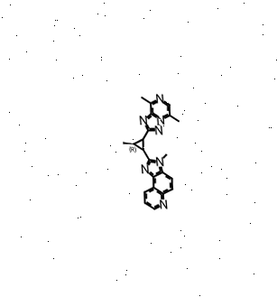 Cc1ncc(C)n2nc(C3C(c4nc5c6cccnc6ccc5n4C)[C@H]3C)nc12